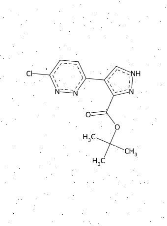 CC(C)(C)OC(=O)c1n[nH]cc1-c1ccc(Cl)nn1